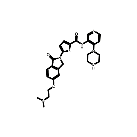 CN(C)CCOc1ccc2c(c1)CN(c1ccc(C(=O)Nc3cnccc3N3CCNCC3)s1)C2=O